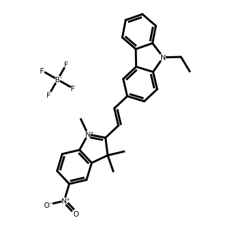 CCn1c2ccccc2c2cc(/C=C/C3=[N+](C)c4ccc([N+](=O)[O-])cc4C3(C)C)ccc21.F[B-](F)(F)F